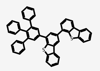 c1ccc(-c2cc(-c3cc(-c4cccc5c4sc4ccccc45)cc4c3sc3ccccc34)cc(-c3ccccc3)c2-c2ccccc2)cc1